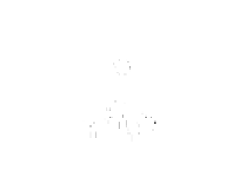 CC1(C)O[C@@H]2[C@@H](O1)[C@@H](CSc1ccc(F)cc1)O[C@H]2n1cnc2c(Cl)ncnc21